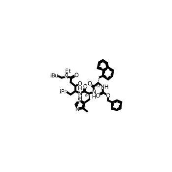 CCC(C)CN(CC)C(=O)CC(O)C(CC(C)C)NC(=O)[C@H](Cc1scnc1C)NC(=O)[C@H](Cc1cccc2ccccc12)NC(=O)OCc1ccccc1